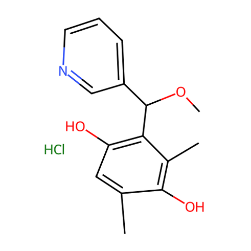 COC(c1cccnc1)c1c(O)cc(C)c(O)c1C.Cl